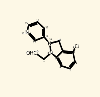 O=CCN1c2cccc(Cl)c2CN1c1cccnc1